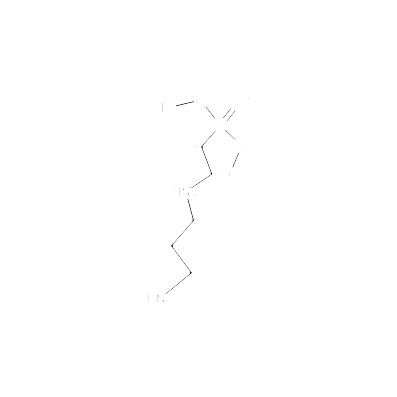 CCOP(=O)(CCNCCCN)OCC